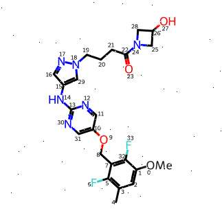 COc1cc(C)c(F)c(COc2cnc(Nc3cnn(CCCC(=O)N4CC(O)C4)c3)nc2)c1F